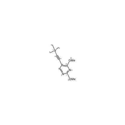 COc1ncc(C#C[Si](C)(C)C)c(OC)n1